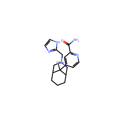 COC1(c2ccnc(C(N)=O)c2)C2CCCC1CN(Cc1ncc[nH]1)C2